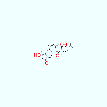 C=C(C)[C@@H]1CC[C@@]2(C)C(=O)CC(/C=C(/C)[C@@H]3CC[C@H](C)C4=C(C3)C(C)(O)CC4=O)[C@H](C)[C@]2(O)C1